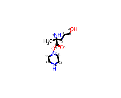 CC(N)(CCCO)C(=O)ON1CCNCC1